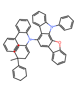 CC1(C2=CCCC=C2)C=CC(N(c2ccccc2-c2ccccc2)c2cc3c4ccccc4oc3c3c2c2ccccc2n3-c2ccccc2)=CC1